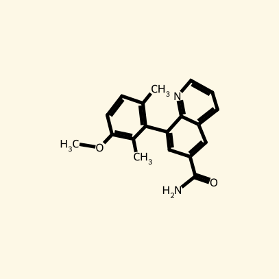 COc1ccc(C)c(-c2cc(C(N)=O)cc3cccnc23)c1C